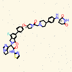 O=C1CC[C@H](Nc2ccc(C3CCN(CC(=O)N4CC[C@@H](Oc5ccc(-c6cc(F)c7c(c6)C(=O)N(C(C(=O)Nc6nccs6)c6ncn8c6CCC8)C7)cc5)C4)CC3)cc2)C(=O)N1